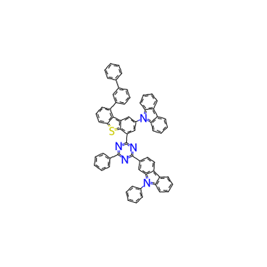 c1ccc(-c2cccc(-c3cccc4sc5c(-c6nc(-c7ccccc7)nc(-c7ccc8c9ccccc9n(-c9ccccc9)c8c7)n6)cc(-n6c7ccccc7c7ccccc76)cc5c34)c2)cc1